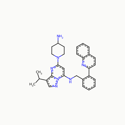 CC(C)c1cnn2c(NCc3ccccc3-c3ccc4ccccc4n3)cc(N3CCC(N)CC3)nc12